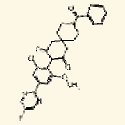 COc1cc(-c2ncc(F)cn2)cc(Cl)c1C1C(=O)CC2(CCN(C(=O)c3ccccc3)CC2)CC1=O